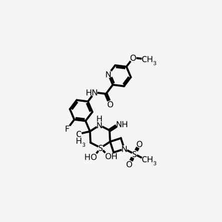 COc1ccc(C(=O)Nc2ccc(F)c(C3(C)CS(O)(O)C4(CN(S(C)(=O)=O)C4)C(=N)N3)c2)nc1